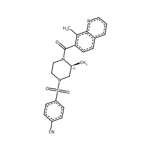 Cc1c(C(=O)N2CCN(S(=O)(=O)c3ccc(C#N)cc3)C[C@@H]2C)ccc2cccnc12